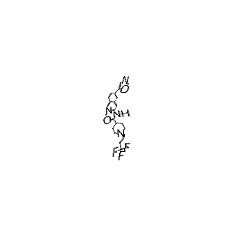 O=C(Nc1cc2cc(-c3cnco3)ccc2cn1)C1CCN(CCC(F)(F)F)CC1